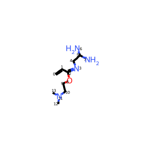 C=C/C(=N\CC(N)N)OCCN(C)C